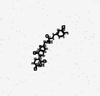 Cc1ccc(CCC(=O)NCc2cc3c(s2)C(=O)N(C2CCC(=O)NC2=O)C3)cc1Cl